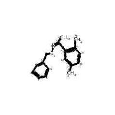 CC(=NOCc1ccccc1)c1cc(C)[c]cc1C